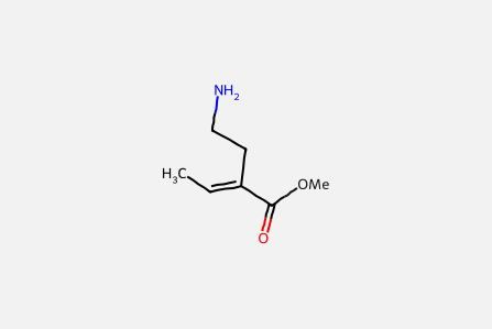 CC=C(CCN)C(=O)OC